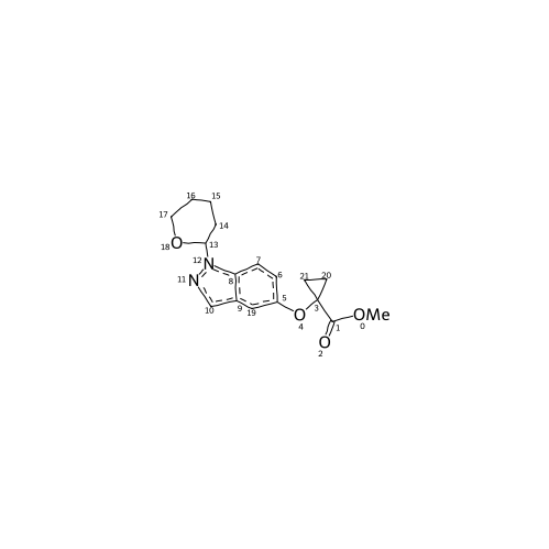 COC(=O)C1(Oc2ccc3c(cnn3C3CCCCO3)c2)CC1